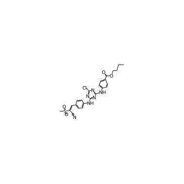 CCCCOC(=O)c1ccc(Nc2nc(Cl)nc(Nc3ccc(/C=C(\C#N)S(C)(=O)=O)cc3)n2)cc1